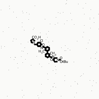 Cc1c(-c2nc3c(o2)CCN(C(=O)OC(C)(C)C)C3)cccc1-c1cccc(-c2nc3cc(CN4CC[C@@H](C(=O)O)C4)cc(Cl)c3o2)c1C